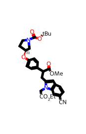 CCOC(=O)Cn1c(CC(C(=O)OC)c2ccc(O[C@H]3CCN(C(=O)OC(C)(C)C)C3)cc2)cc2ccc(C#N)cc21